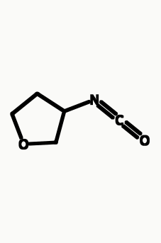 O=C=NC1CCOC1